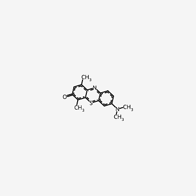 Cc1cc(=O)c(C)c2sc3cc(N(C)C)ccc3nc1-2